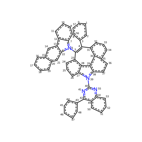 c1ccc(C2=C(n3c4ccccc4c4cc5ccccc5cc43)c3cccc4c3c3c5c2cccc5ccc3n4-c2nc(-c3ccccc3)c3ccccc3n2)cc1